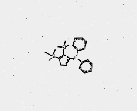 C[Si](C)(C)C1=C([Si](C)(C)C)C(P(c2ccccc2)c2ccccc2)=CC1